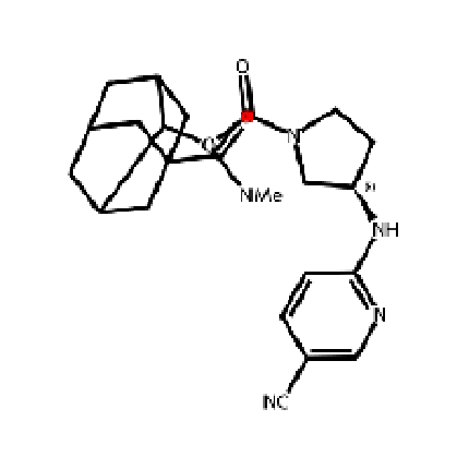 CNC(=O)C12CC3CC(C1)C(OC(=O)N1CC[C@@H](Nc4ccc(C#N)cn4)C1)C(C3)C2